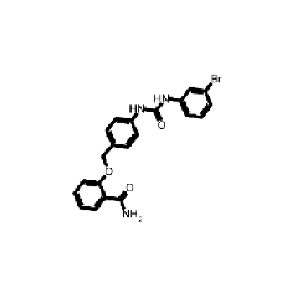 NC(=O)c1ccccc1OCc1ccc(NC(=O)Nc2cccc(Br)c2)cc1